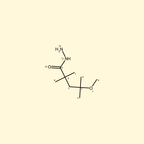 COC(C)(C)CC(C)(C)C(=O)NN